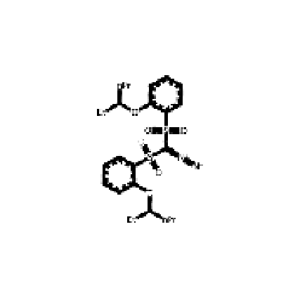 CCCC(CC)Oc1ccccc1S(=O)(=O)C(=[N+]=[N-])S(=O)(=O)c1ccccc1OC(CC)CCC